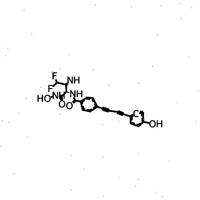 N=C(C(F)F)[C@H](NC(=O)c1ccc(C#CC#Cc2ccc(O)cc2)cc1)C(=O)NO